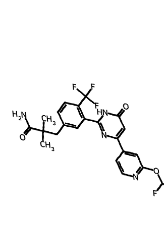 CC(C)(Cc1ccc(C(F)(F)F)c(-c2nc(-c3ccnc(OC(F)F)c3)cc(=O)[nH]2)c1)C(N)=O